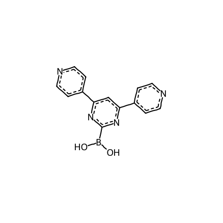 OB(O)c1nc(-c2ccncc2)cc(-c2ccncc2)n1